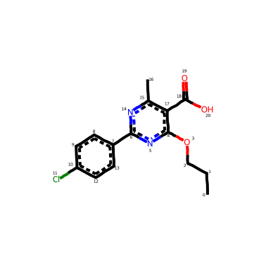 CCCOc1nc(-c2ccc(Cl)cc2)nc(C)c1C(=O)O